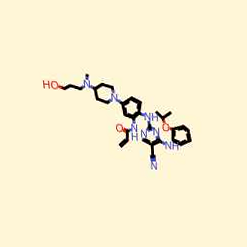 C=CC(=O)Nc1cc(N2CCC(N(C)CCCO)CC2)ccc1Nc1ncc(C#N)c(Nc2ccccc2OC(C)C)n1